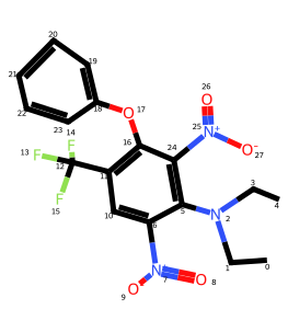 CCN(CC)c1c([N+](=O)[O-])cc(C(F)(F)F)c(Oc2ccccc2)c1[N+](=O)[O-]